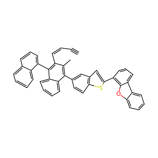 C#C/C=C\c1c(C)c(-c2ccc3sc(-c4cccc5c4oc4ccccc45)cc3c2)c2ccccc2c1-c1cccc2ccccc12